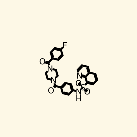 O=C(c1ccc(F)cc1)N1CCN(C(=O)c2ccc(NS(=O)(=O)c3cccc4cccnc34)cc2)CC1